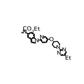 CCOC(=O)N(C)c1ccc2c(ccn2-c2ccc(OC3CCN(c4ncc(CC)cn4)CC3)cn2)c1